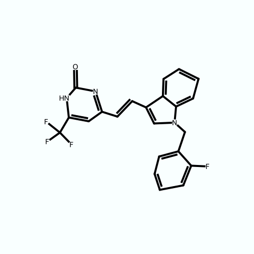 O=c1nc(C=Cc2cn(Cc3ccccc3F)c3ccccc23)cc(C(F)(F)F)[nH]1